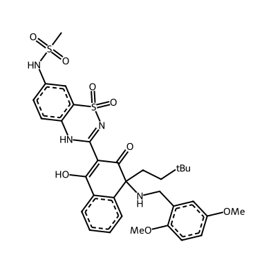 COc1ccc(OC)c(CNC2(CCC(C)(C)C)C(=O)C(C3=NS(=O)(=O)c4cc(NS(C)(=O)=O)ccc4N3)=C(O)c3ccccc32)c1